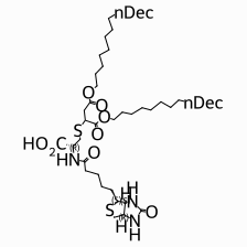 CCCCCCCCCCCCCCCCCCOC(=O)CC(SC[C@H](NC(=O)CCCC[C@@H]1SC[C@@H]2NC(=O)N[C@@H]21)C(=O)O)C(=O)OCCCCCCCCCCCCCCCCCC